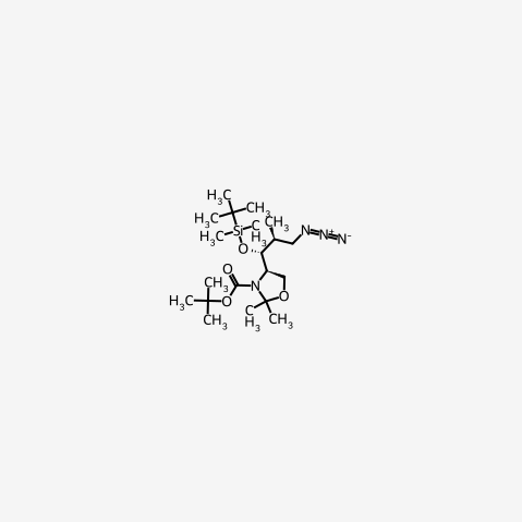 C[C@@H](CN=[N+]=[N-])[C@@H](O[Si](C)(C)C(C)(C)C)[C@H]1COC(C)(C)N1C(=O)OC(C)(C)C